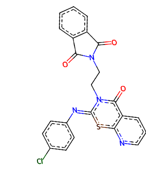 O=C1c2ccccc2C(=O)N1CCn1c(=Nc2ccc(Cl)cc2)sc2ncccc2c1=O